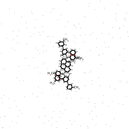 Cc1cccc(-c2cc(F)c(N(c3ccc(C)cc3C)c3ccc4ccc5c(N(c6ccc(C)cc6C)c6c(F)cc(-c7cccc(C)c7)cc6-c6cccc(C)c6)ccc6ccc3c4c65)c(-c3cccc(C)c3)c2)c1